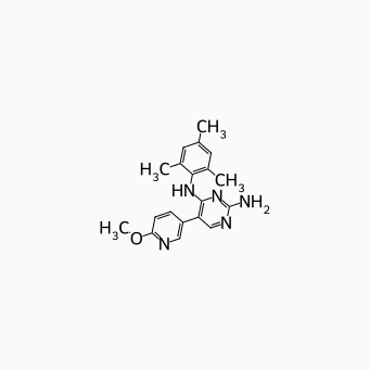 COc1ccc(-c2cnc(N)nc2Nc2c(C)cc(C)cc2C)cn1